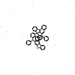 c1ccc(N(c2ccc3c(c2)oc2ccccc23)c2cccc3c2-c2ccccc2C32c3ccccc3-c3c2c(N(c2ccccc2)c2ccccc2)cc2ccccc32)cc1